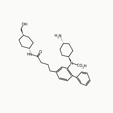 N[C@H]1CC[C@H](N(C(=O)O)c2cc(CCCC(=O)N[C@H]3CC[C@H](CO)CC3)ccc2-c2ccccc2)CC1